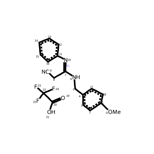 COc1ccc(CN/C(CC#N)=N/c2ccccc2)cc1.O=C(O)C(F)(F)F